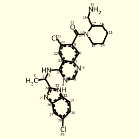 CC(Nc1ncnc2cc(C(=O)N3CCCCC3CN)c(Cl)cc12)c1nc2cc(Cl)ccc2[nH]1